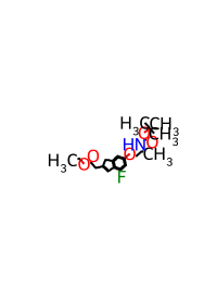 CCOC(=O)CC1=Cc2c(F)cc(OCC(C)NC(=O)OC(C)(C)C)cc2C1